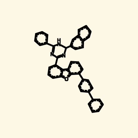 c1ccc(C2=NC(c3cccc4oc5c(-c6ccc(-c7ccccc7)cc6)cccc5c34)=NC(c3ccc4ccccc4c3)N2)cc1